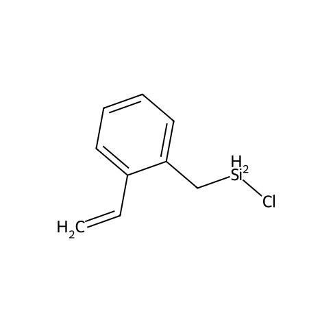 C=Cc1ccccc1C[SiH2]Cl